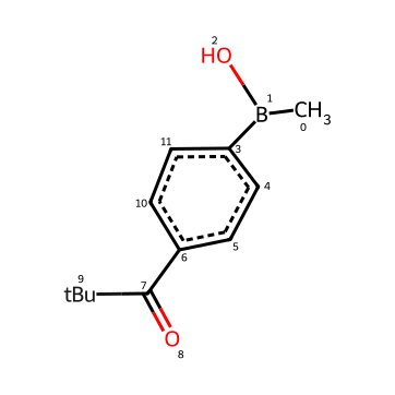 CB(O)c1ccc(C(=O)C(C)(C)C)cc1